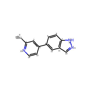 CC(C)(C)c1cc(-c2ccc3[nH]ncc3c2)ccn1